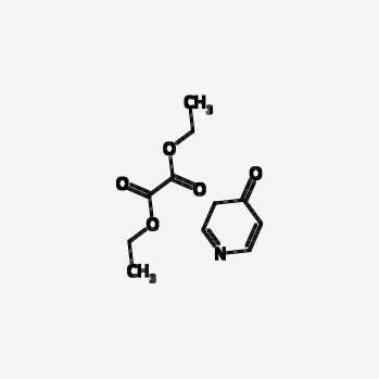 CCOC(=O)C(=O)OCC.O=C1C=CN=CC1